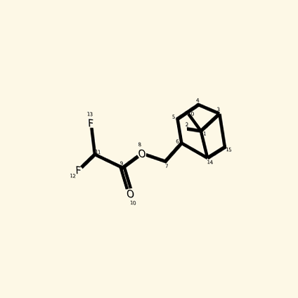 CC1(C)C2CCC(COC(=O)C(F)F)C1C2